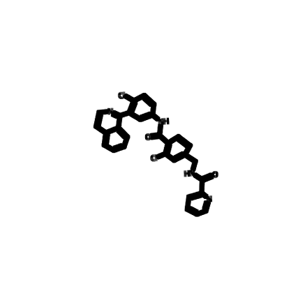 O=C(NCc1ccc(C(=O)Nc2ccc(Cl)c(-c3nccc4ccccc34)c2)c(Cl)c1)c1ccccn1